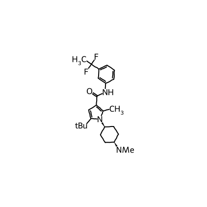 CN[C@H]1CC[C@@H](n2c(C(C)(C)C)cc(C(=O)Nc3cccc(C(C)(F)F)c3)c2C)CC1